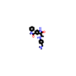 CC(Nc1ccc(CN(C)C)cc1)=C1C(=O)Nc2ccc(C(=O)N(C)c3ccccc3)cc21